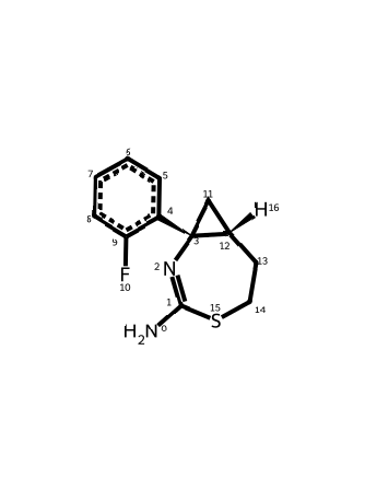 NC1=N[C@]2(c3ccccc3F)C[C@@H]2CCS1